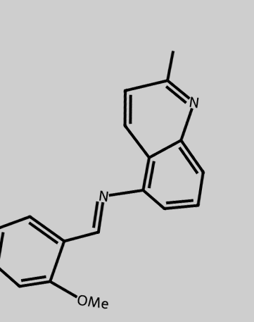 COc1ccccc1C=Nc1cccc2nc(C)ccc12